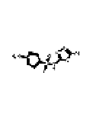 Nc1ccc(S(=O)(=O)Nc2nnc(O)s2)cc1